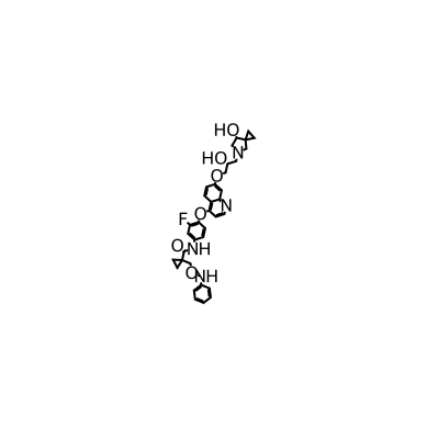 O=C(Nc1ccc(Oc2ccnc3cc(OCC(O)CN4CC(O)C5(CC5)C4)ccc23)c(F)c1)C1(CONc2ccccc2)CC1